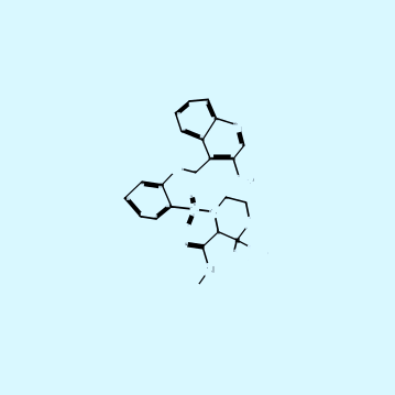 COc1cnc2ccccc2c1COc1ccccc1S(=O)(=O)N1CCSC(C)(C)C1C(=O)NO